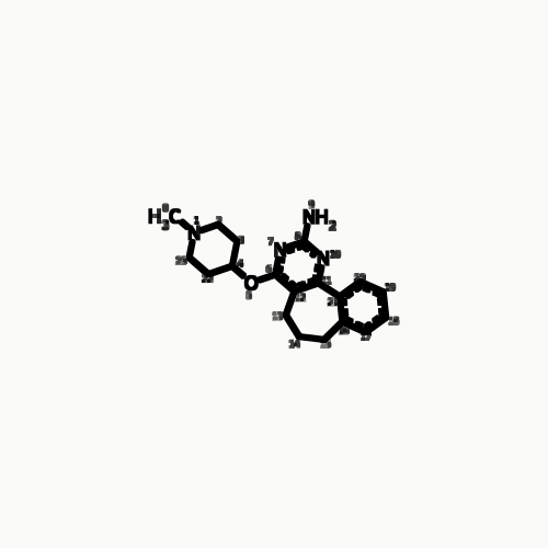 CN1CCC(Oc2nc(N)nc3c2CCCc2ccccc2-3)CC1